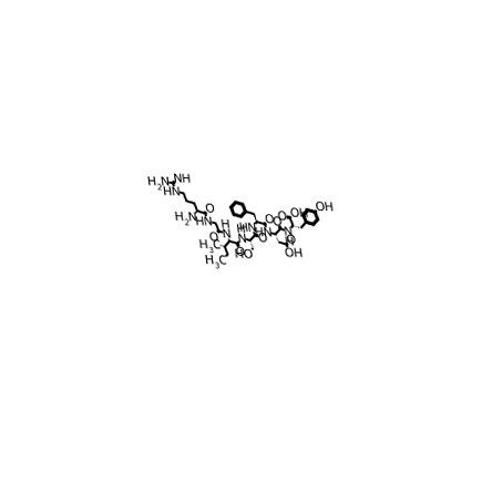 CC[C@H](C)[C@H](NC(=O)CNC(=O)[C@@H](N)CCCNC(=N)N)C(=O)N[C@@H](CO)C(=O)N[C@@H](Cc1ccccc1)C(=O)N[C@@H](CC(=O)O)C(=O)N[C@@H](Cc1ccc(O)cc1)C(=O)O